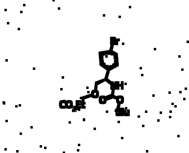 CCOC(=O)COC[C@H](NC(=O)OC(C)(C)C)c1ccc(Br)cc1